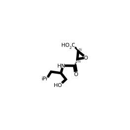 CC(C)CC(CO)NC(=O)[C@H]1O[C@@H]1C(=O)O